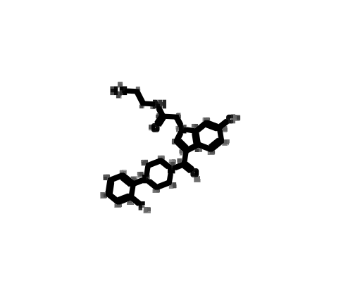 NCCNC(=O)Cn1cc(C(=O)N2CCN(c3ccccc3F)CC2)c2ccc(Cl)cc21